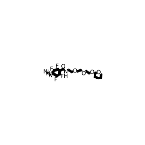 [N-]=[N+]=Nc1c(F)c(F)c(C(=O)NCCOCCOCCOC2CCCCO2)c(F)c1F